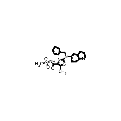 Cc1sc(N(Cc2ccccc2)c2ccc3ncccc3c2)nc1C(=O)NS(C)(=O)=O